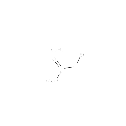 CCO[PH](=O)OC.[CaH2]